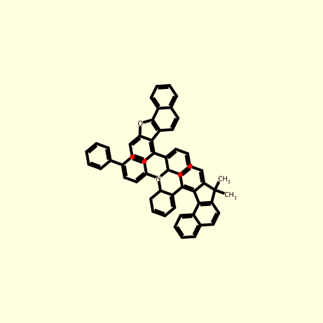 CC1(C)c2cccc(C3=CC=CCC3N(c3ccc(-c4ccccc4)cc3)C3CC=CC=C3c3cccc4oc5c6ccccc6ccc5c34)c2-c2c1ccc1ccccc21